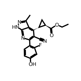 CCOC(=O)[C@@H]1C[C@H]1c1c(C#N)c(-c2ccc(O)cc2F)nc2[nH]nc(C)c12